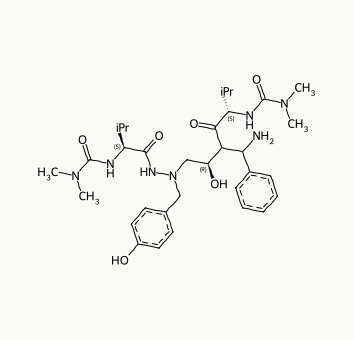 CC(C)[C@H](NC(=O)N(C)C)C(=O)NN(Cc1ccc(O)cc1)C[C@H](O)C(C(=O)[C@@H](NC(=O)N(C)C)C(C)C)C(N)c1ccccc1